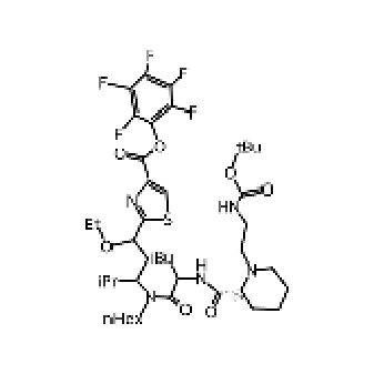 CCCCCCN(C(=O)C(NC(=O)[C@H]1CCCCN1CCNC(=O)OC(C)(C)C)C(C)CC)C(CC(OCC)c1nc(C(=O)Oc2c(F)c(F)c(F)c(F)c2F)cs1)C(C)C